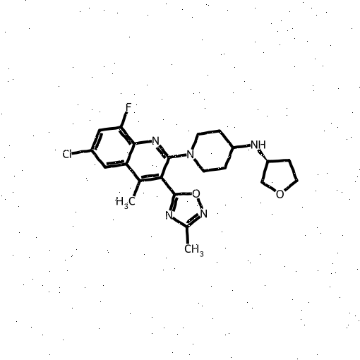 Cc1noc(-c2c(N3CCC(N[C@H]4CCOC4)CC3)nc3c(F)cc(Cl)cc3c2C)n1